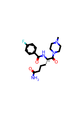 CN1CCN(C(=O)[C@H](CCCC(N)=O)NC(=O)c2ccc(F)cc2)CC1